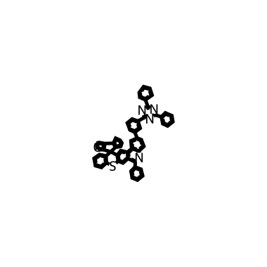 c1ccc(-c2nc(-c3ccccc3)nc(-c3cccc(-c4ccc5nc(-c6ccccc6)c6cc7c(cc6c5c4)C4(c5ccccc5S7)c5ccccc5-c5ccccc54)c3)n2)cc1